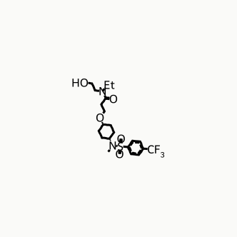 CCN(CCO)C(=O)CCO[C@H]1CC[C@H](N(C)S(=O)(=O)c2ccc(C(F)(F)F)cc2)CC1